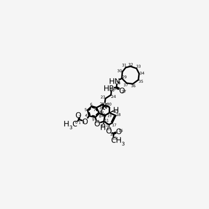 CC(=O)Oc1ccc2c3c1O[C@H]1[C@@H](OC(C)=O)C=C[C@H]4C(C2)N(CCBC(=O)NC2CCCCCCCC2)CC[C@@]341